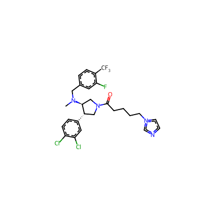 CN(Cc1ccc(C(F)(F)F)c(F)c1)[C@H]1CN(C(=O)CCCCn2ccnc2)C[C@@H]1c1ccc(Cl)c(Cl)c1